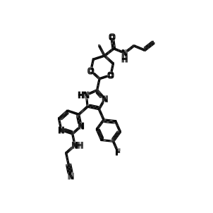 C=CCNC(=O)C1(C)COC(c2nc(-c3ccc(F)cc3)c(-c3ccnc(NCC#N)n3)[nH]2)OC1